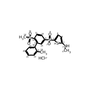 CNc1ccc(S(=O)(=O)c2ccc(S(C)(=O)=O)c(-c3ccccc3C)c2)s1.Cl